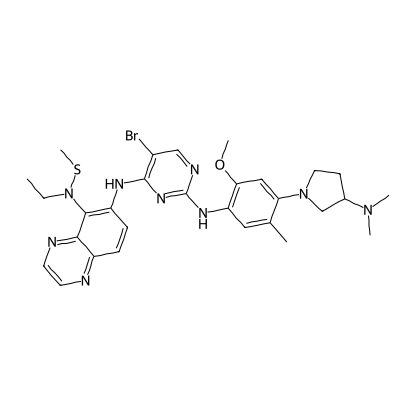 CCN(SC)c1c(Nc2nc(Nc3cc(C)c(N4CCC(N(C)C)C4)cc3OC)ncc2Br)ccc2nccnc12